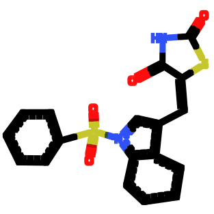 O=C1NC(=O)C(=Cc2cn(S(=O)(=O)c3ccccc3)c3ccccc23)S1